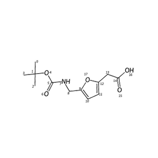 CC(C)(C)OC(=O)NCc1ccc(CC(=O)O)o1